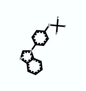 FC(F)(F)Oc1ccc(-n2cnc3ccccc32)cc1